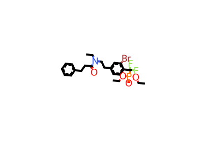 CCOP(=O)(OCC)C(F)(F)c1ccc(CCN(CC)C(=O)CCc2ccccc2)cc1Br